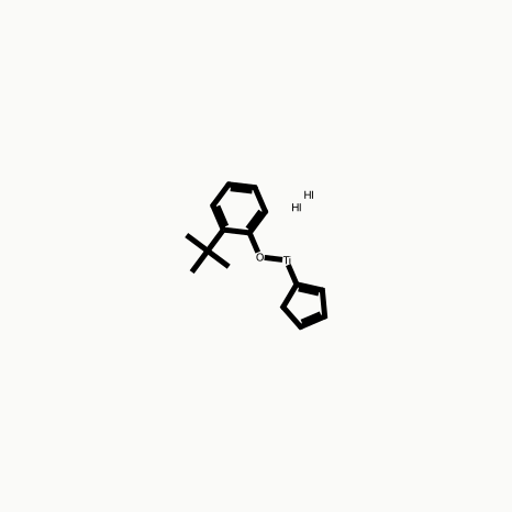 CC(C)(C)c1ccccc1[O][Ti][C]1=CC=CC1.I.I